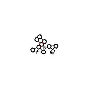 CC1(C)c2ccccc2-c2cccc(-c3ccccc3N(c3ccc(-c4cccc5cccc(-c6ccccc6)c45)cc3)c3ccc4c(c3)C3(CC5CCC3C5)c3ccccc3-4)c21